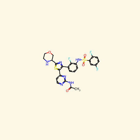 CC(=O)Nc1nccc(-c2sc(C3COCCN3)nc2-c2cccc(NS(=O)(=O)c3cc(F)ccc3F)c2F)n1